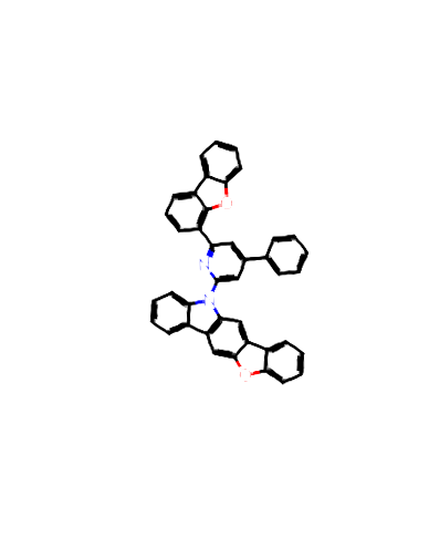 c1ccc(-c2cc(-c3cccc4c3oc3ccccc34)nc(-n3c4ccccc4c4cc5oc6ccccc6c5cc43)c2)cc1